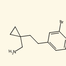 NCC1(CCc2cccc(Br)c2)CC1